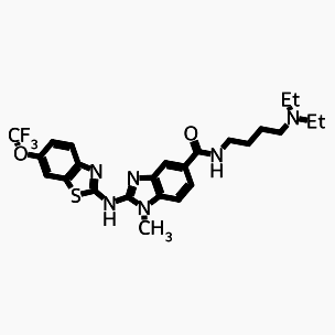 CCN(CC)CCCCNC(=O)c1ccc2c(c1)nc(Nc1nc3ccc(OC(F)(F)F)cc3s1)n2C